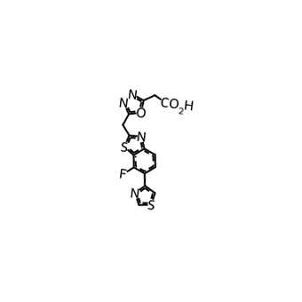 O=C(O)Cc1nnc(Cc2nc3ccc(-c4cscn4)c(F)c3s2)o1